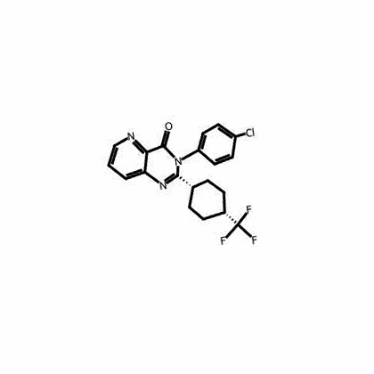 O=c1c2ncccc2nc([C@H]2CC[C@@H](C(F)(F)F)CC2)n1-c1ccc(Cl)cc1